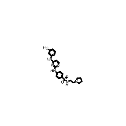 O=S(=O)(NCCN1CCCC1)c1ccc(Nc2nccc(Nc3cccc(O)c3)n2)cc1